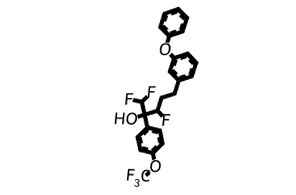 OC(c1ccc(OC(F)(F)F)cc1)(C(F)F)C(F)CCc1cccc(Oc2ccccc2)c1